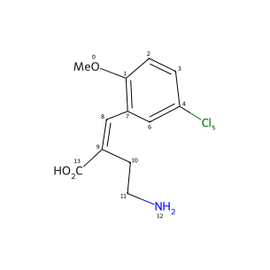 COc1ccc(Cl)cc1/C=C(\CCN)C(=O)O